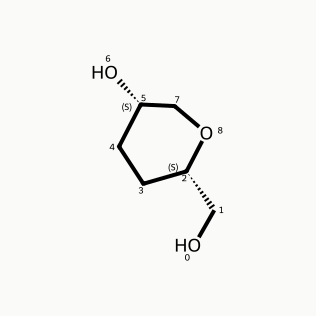 OC[C@@H]1CC[C@H](O)CO1